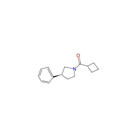 O=C(C1CCC1)N1CC[C@@H](c2ccccc2)C1